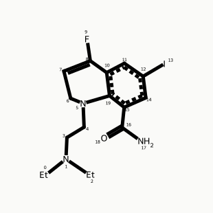 CCN(CC)CCN1CC=C(F)c2cc(I)cc(C(N)=O)c21